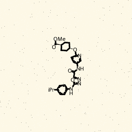 COC(=O)[C@H]1CC[C@H](Oc2ccc(NC(=O)c3nnc(Nc4ccc(C(C)C)cc4)o3)cn2)CC1